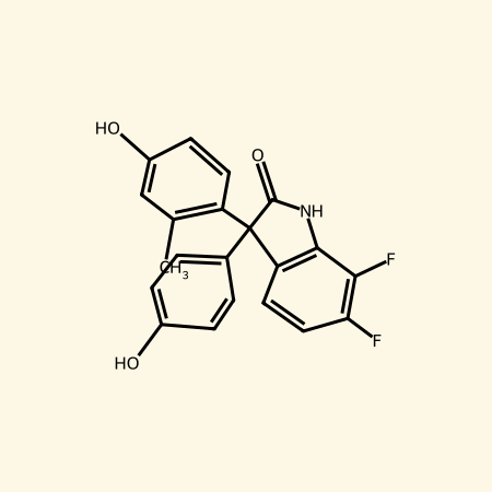 Cc1cc(O)ccc1C1(c2ccc(O)cc2)C(=O)Nc2c1ccc(F)c2F